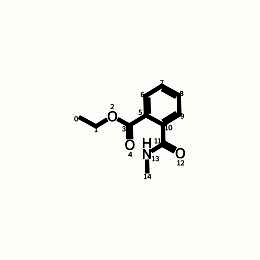 CCOC(=O)c1ccccc1C(=O)NC